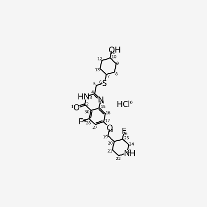 Cl.O=c1[nH]c(CSC2CCC(O)CC2)nc2cc(OCC3CCNCC3F)cc(F)c12